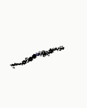 C=CC(=O)OCCCCOc1ccc(C(=O)Oc2ccc(-c3ccc(/C=C/C(=O)O[C@H]4CO[C@H]5[C@@H]4OC[C@H]5OC(=O)c4ccc(OCCCCOC(=O)C=C)cc4)cc3)cc2)cc1